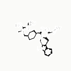 CC(C)OC(=O)[C@@H]1Cc2c([nH]c3ccccc23)CN1C(=O)C1CCC(CN(C)C(O)OC(C)(C)C)CC1